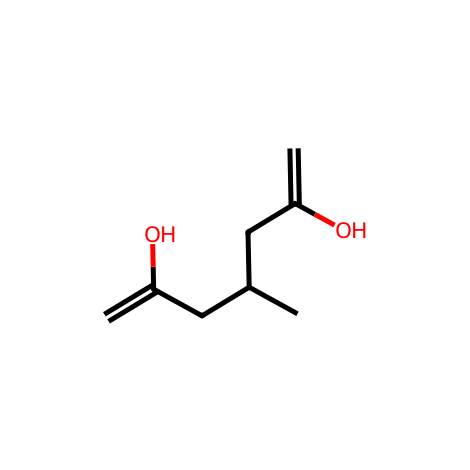 C=C(O)CC(C)CC(=C)O